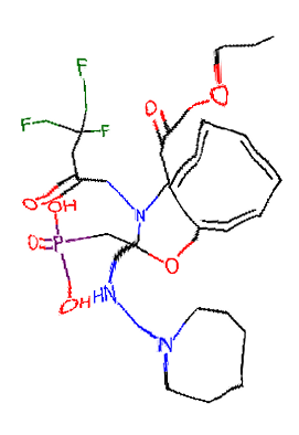 CCOC(=O)CN(C(=O)C(F)(F)F)C(NN1CCCCC1)(Oc1ccccc1)P(=O)(O)O